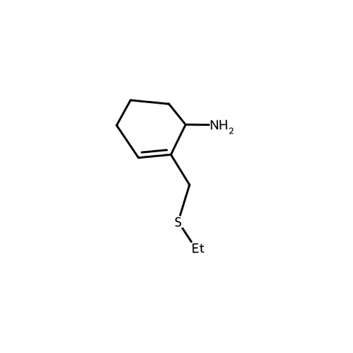 CCSCC1=CCCCC1N